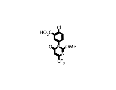 COc1nc(C(F)(F)F)cc(=O)n1-c1ccc(Cl)c(C(=O)O)c1